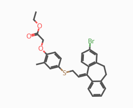 CCOC(=O)COc1ccc(SCC=C2c3ccccc3CCc3cc(Br)ccc32)cc1C